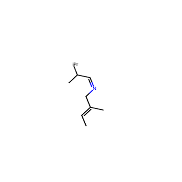 C/C=C(\C)C/N=C\C(C)C(C)C